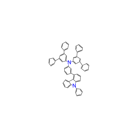 c1ccc(-c2cc(-c3ccccc3)cc(N(c3cc(-c4ccccc4)cc(-c4ccccc4)c3)c3cccc(-c4cccc5c4c4ccccc4n5-c4ccccc4)c3)c2)cc1